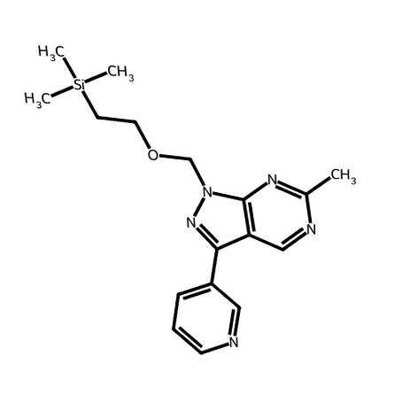 Cc1ncc2c(-c3cccnc3)nn(COCC[Si](C)(C)C)c2n1